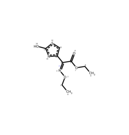 CCO/N=C(\C(=O)OCC)c1csc(O)n1